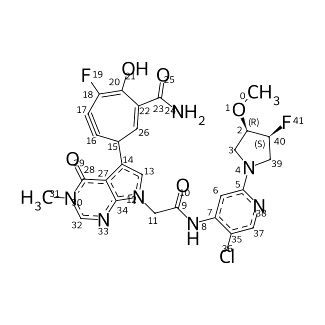 CO[C@@H]1CN(c2cc(NC(=O)Cn3cc(C4C#CC(F)=C(O)C(C(N)=O)=C4)c4c(=O)n(C)cnc43)c(Cl)cn2)C[C@@H]1F